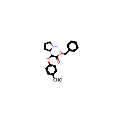 O=Cc1ccc(OC(C(=O)OCc2ccccc2)[C@@H]2CCCN2)cc1